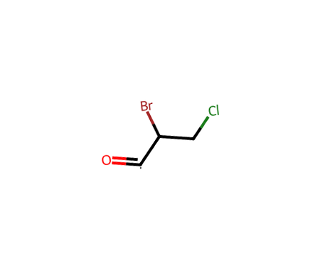 O=[C]C(Br)CCl